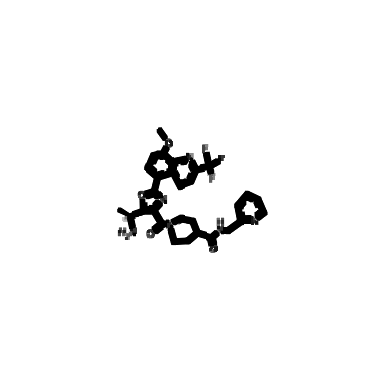 COc1ccc(-c2nc(C(=O)N3CCC(C(=O)NCc4ccccn4)CC3)c([C@H](C)N)o2)c2ccc(C(F)(F)F)nc12